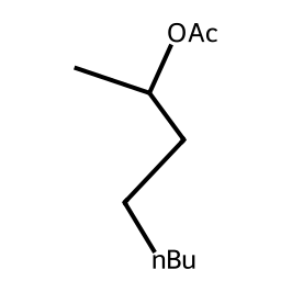 CCCCCCC(C)OC(C)=O